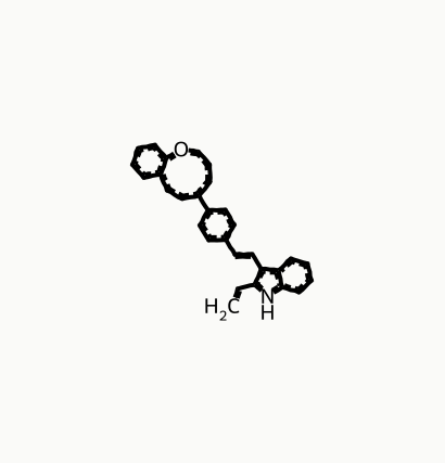 C=Cc1[nH]c2ccccc2c1/C=C/c1ccc(-c2cccoc3ccccc3cc2)cc1